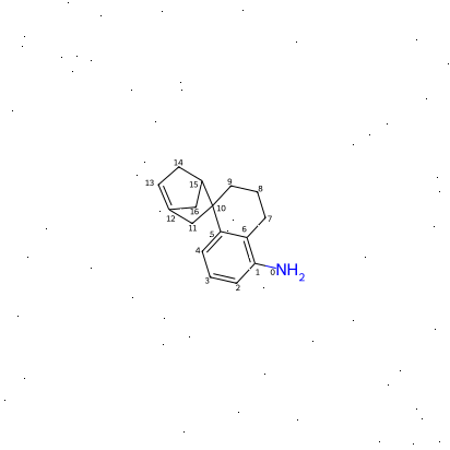 Nc1cccc2c1CCCC21CC2=CCC1C2